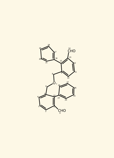 O=Cc1cccc(COCc2cccc(C=O)c2-c2ccccc2)c1-c1ccccc1